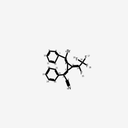 N#C/C(=C1/C(=C(Br)c2ccccc2)/C1=C(/F)C(F)(F)F)c1ccccc1